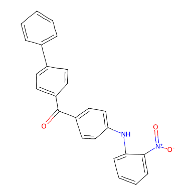 O=C(c1ccc(Nc2ccccc2[N+](=O)[O-])cc1)c1ccc(-c2ccccc2)cc1